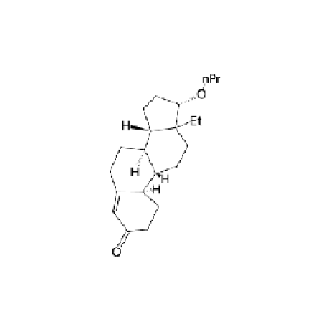 CCCO[C@H]1CC[C@H]2[C@@H]3CCC4=CC(=O)CC[C@@H]4[C@H]3CCC12CC